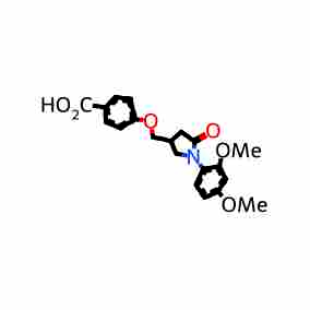 COc1ccc(N2CC(COc3ccc(C(=O)O)cc3)CC2=O)c(OC)c1